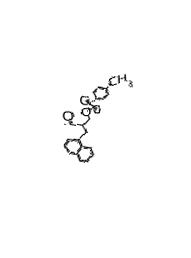 Cc1ccc(S(=O)(=O)OCC([C]=O)Cc2cccc3ccccc23)cc1